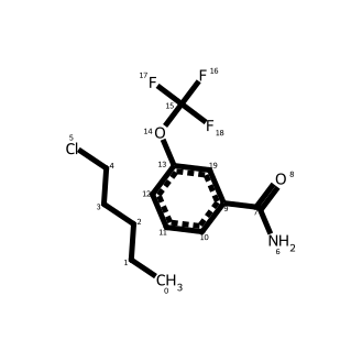 CCCCCCl.NC(=O)c1cccc(OC(F)(F)F)c1